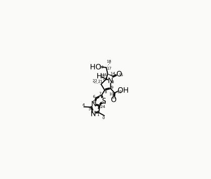 Cc1nc(C)n2cc(C3=C(C(=O)O)N4C(=O)[C@H]([C@@H](C)O)[C@H]4[C@H]3C)sc12